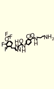 NCCCNC(=O)c1ccc(NC(=O)c2ncc(Cc3ccc(OC(F)F)c(F)c3F)[nH]2)cc1Cl